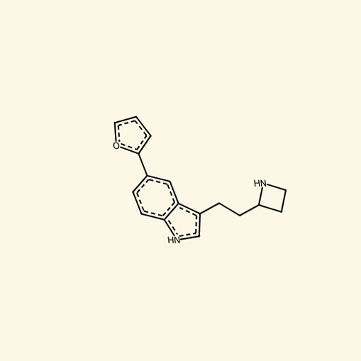 c1coc(-c2ccc3[nH]cc(CCC4CCN4)c3c2)c1